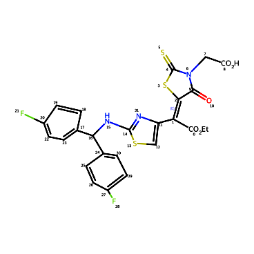 CCOC(=O)/C(=C1/SC(=S)N(CC(=O)O)C1=O)c1csc(NC(c2ccc(F)cc2)c2ccc(F)cc2)n1